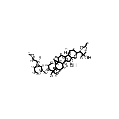 CCO[C@@H](C1C[C@@H](C)[C@H]2C(O1)[C@H](O)[C@@]1(C)C3CC[C@H]4C(C)(C)[C@@H](O[C@H]5CN([C@@H](C)COC)CCO5)CC[C@@]45CC35CC[C@]21C)C(C)(C)O